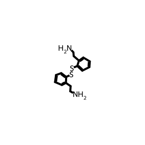 NCCc1ccccc1SSc1ccccc1CCN